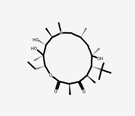 CC[C@H]1OC(=O)[C@H](C)C(=O)[C@H](C)[C@@H](C(C)(C)C)[C@](C)(O)C[C@@H](C)CN(C)[C@H](C)[C@@H](O)[C@]1(C)O